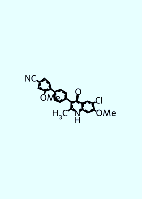 COc1cc2[nH]c(C)c(-c3ccc(-c4ccc(C#N)cc4OC)cc3)c(=O)c2cc1Cl